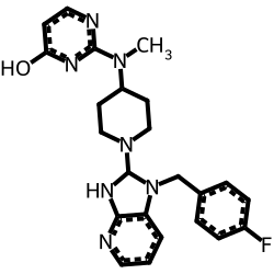 CN(c1nccc(O)n1)C1CCN(C2Nc3ncccc3N2Cc2ccc(F)cc2)CC1